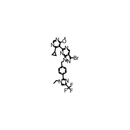 CCn1cc(C(F)(F)F)nc1-c1ccc(Cn2nc(Br)c3cnc(-c4c(OC)ncnc4C4CC4)nc32)cc1